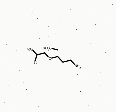 CC(=O)O.CCCCC(CC)COCCCN